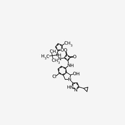 Cc1ccc([C@H](Nc2c(Nc3ccc(Cl)c4c3C(O)N(c3cc(C5CC5)n[nH]3)C4)c(=O)c2=O)C(C)(C)C)o1